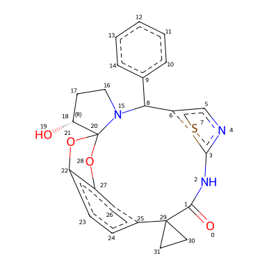 O=C1Nc2ncc(s2)C(c2ccccc2)N2CC[C@@H](O)C23Oc2ccc(cc2O3)C12CC2